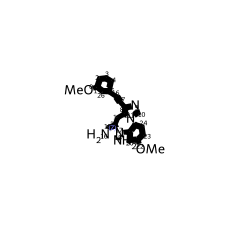 COc1cccc(C#Cc2ncn3c2C/C(=C/N)N(N)c2cc(OC)ccc2-3)c1